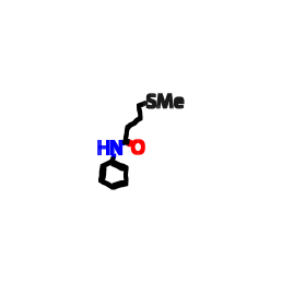 CSCCCC(=O)Nc1ccccc1